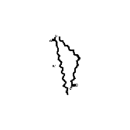 CCCCCCCC/C=C\CCCCCCCC(=O)[O-].CCCCCCCCCCCCCCCCCC(=O)O.[K+]